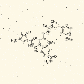 CCn1nc(C)cc1C(=O)Nc1nc2cc(C(N)=O)cc(OC)c2n1CCCNC(=O)N(C)CCc1ccnc(OC)c1